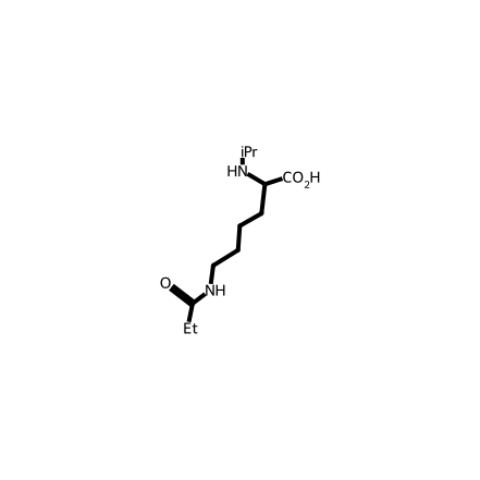 CCC(=O)NCCCCC(NC(C)C)C(=O)O